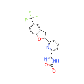 O=c1[nH]c(-c2cccc(C3Cc4cc(C(F)(F)F)ccc4O3)n2)no1